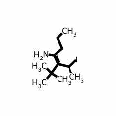 CCC/C(N)=C(\[C@H](C)I)C(C)(C)C